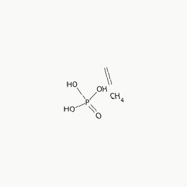 C.C=C.O=P(O)(O)O